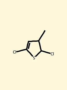 CC1C=C(Cl)SC1Cl